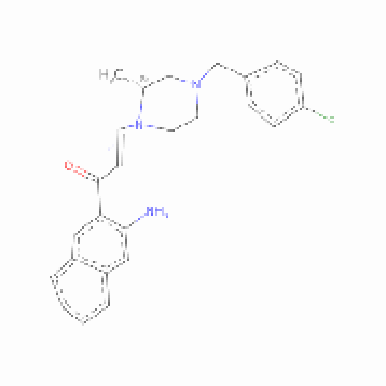 C[C@@H]1CN(Cc2ccc(F)cc2)CCN1/C=C/C(=O)c1cc2ccccc2cc1N